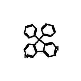 c1ccc(C2(c3ccccc3)c3ccncc3-c3ccncc32)cc1